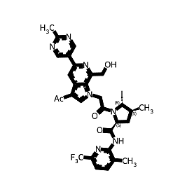 CC(=O)c1cn(CC(=O)N2[C@H](I)[C@@H](C)C[C@H]2C(=O)Nc2nc(C(F)(F)F)ccc2C)c2c(CO)nc(-c3cnc(C)nc3)cc12